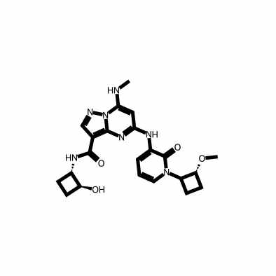 CNc1cc(Nc2cccn(C3CC[C@H]3OC)c2=O)nc2c(C(=O)N[C@H]3CC[C@@H]3O)cnn12